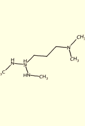 CN[SiH](CCCN(C)C)NC